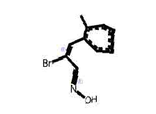 Cc1ccccc1/C=C(Br)\C=N\O